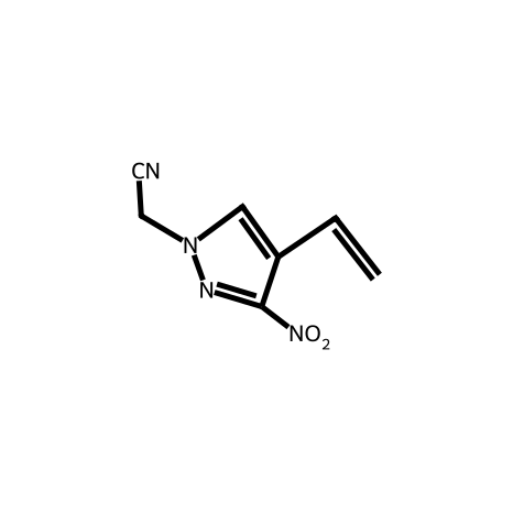 C=Cc1cn(CC#N)nc1[N+](=O)[O-]